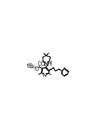 Cc1nc(C)c([C@H](OC(C)(C)C)C(=O)O)c(N2CCC(C)(C)CC2)c1CCCc1ccccc1